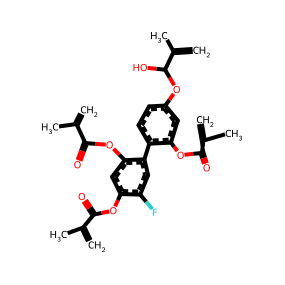 C=C(C)C(=O)Oc1cc(OC(=O)C(=C)C)c(-c2ccc(OC(O)C(=C)C)cc2OC(=O)C(=C)C)cc1F